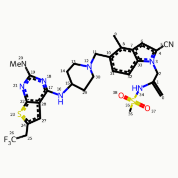 C=C(Cn1c(C#N)cc2c(C)c(CN3CCC(Nc4nc(NC)nc5sc(CC(F)(F)F)cc45)CC3)ccc21)NS(C)(=O)=O